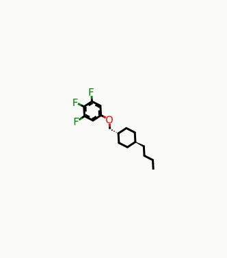 CCCC[C@H]1CC[C@H](COc2cc(F)c(F)c(F)c2)CC1